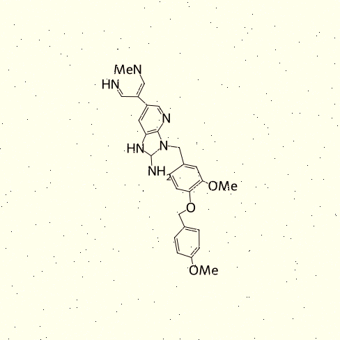 CN/C=C(\C=N)c1cnc2c(c1)NC(N)N2Cc1ccc(OCc2ccc(OC)cc2)c(OC)c1